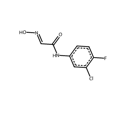 O=C(C=NO)Nc1ccc(F)c(Cl)c1